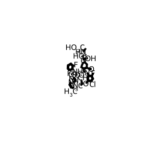 C#CC(C)Oc1cc(N2C(=O)C3=C(CCCC3)C2=O)c(F)cc1Cl.Cc1ccn2nc(S(=O)(=O)Nc3c(F)cccc3F)nc2n1.O=C(O)CNCP(=O)(O)O